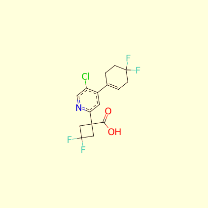 O=C(O)C1(c2cc(C3=CCC(F)(F)CC3)c(Cl)cn2)CC(F)(F)C1